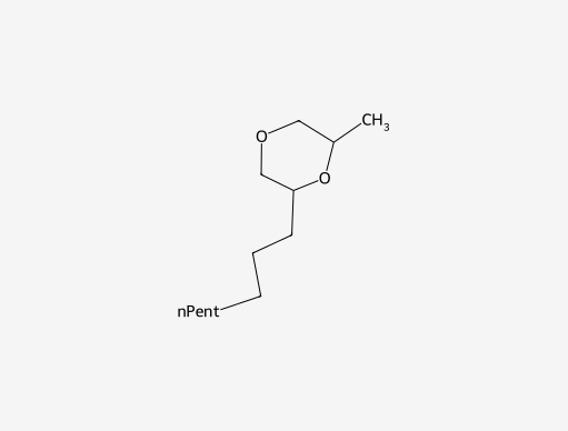 CCCCCCCCC1COCC(C)O1